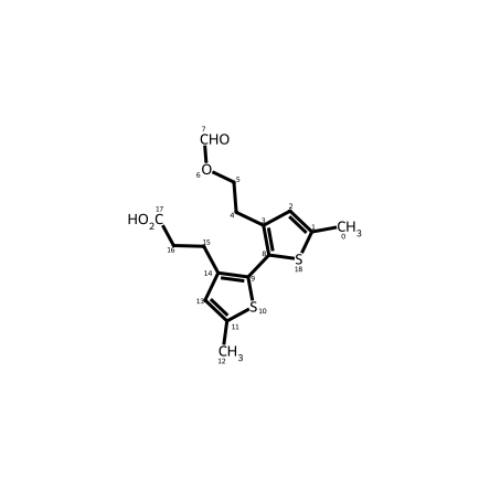 Cc1cc(CCOC=O)c(-c2sc(C)cc2CCC(=O)O)s1